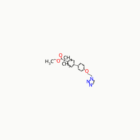 CCOC(=O)C(C)(C)c1ccc(-c2ccc(OCCn3ccnn3)cc2)cc1